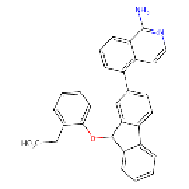 Nc1nccc2c(-c3ccc4c(c3)C(Oc3ccccc3CC(=O)O)c3ccccc3-4)cccc12